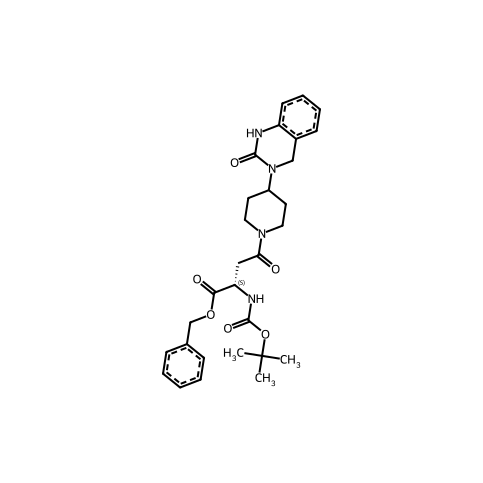 CC(C)(C)OC(=O)N[C@@H](CC(=O)N1CCC(N2Cc3ccccc3NC2=O)CC1)C(=O)OCc1ccccc1